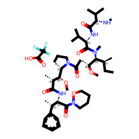 CC[C@H](C)[C@@H]([C@@H](CC(=O)N1CCC[C@H]1[C@H](OC)[C@@H](C)C(=O)N[C@H](C(=O)N1CCCCO1)[C@@H](C)c1ccccc1)OC)N(C)C(=O)[C@@H](NC(=O)[C@@H](NC)C(C)C)C(C)C.O=C(O)C(F)(F)F